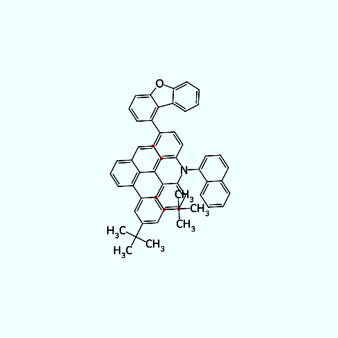 CC(C)(C)c1cc(-c2cccc3cccc(-c4ccccc4N(c4ccc(-c5cccc6oc7ccccc7c56)cc4)c4cccc5ccccc45)c23)cc(C(C)(C)C)c1